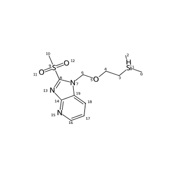 C[SiH](C)CCOCn1c(S(C)(=O)=O)nc2ncccc21